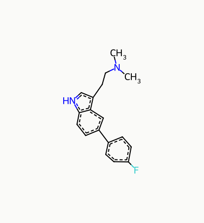 CN(C)CCc1c[nH]c2ccc(-c3ccc(F)cc3)cc12